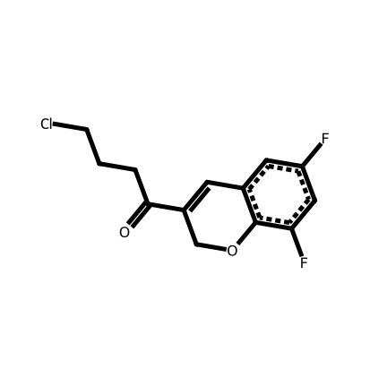 O=C(CCCCl)C1=Cc2cc(F)cc(F)c2OC1